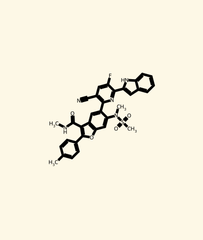 CNC(=O)c1c(-c2ccc(C)cc2)oc2cc(N(C)S(C)(=O)=O)c(-c3nc(-c4cc5ccccc5[nH]4)c(F)cc3C#N)cc12